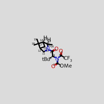 COC(=O)N(C(=O)C(F)(F)F)[C@H](C(=O)N1CC2C[C@@H]([C@H]1C)C2(C)C)C(C)(C)C